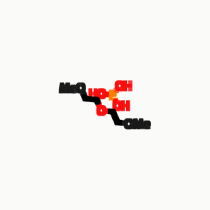 COCCOCCOC.OP(O)O